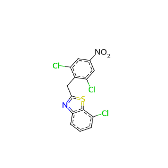 O=[N+]([O-])c1cc(Cl)c(Cc2nc3cccc(Cl)c3s2)c(Cl)c1